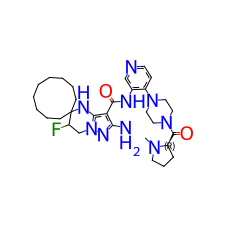 CN1CCC[C@@H]1C(=O)N1CCN(c2ccncc2NC(=O)c2c(N)nn3c2NC2(CCCCCCCCC2)C(F)C3)CC1